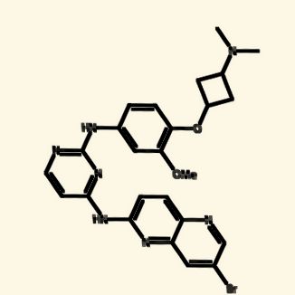 COc1cc(Nc2nccc(Nc3ccc4ncc(Br)cc4n3)n2)ccc1OC1CC(N(C)C)C1